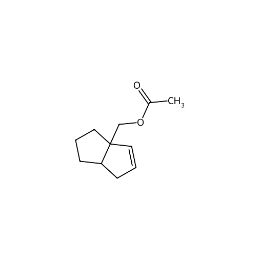 CC(=O)OCC12C=CCC1CCC2